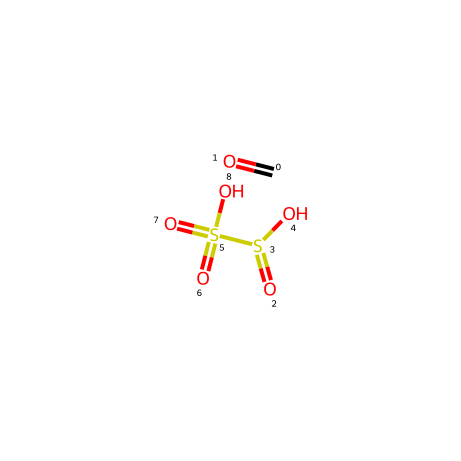 C=O.O=S(O)S(=O)(=O)O